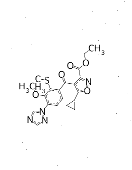 CCOC(=O)c1noc(C2CC2)c1C(=O)c1ccc(-n2cncn2)c(OC)c1SC